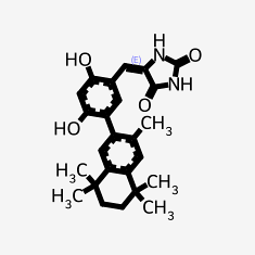 Cc1cc2c(cc1-c1cc(/C=C3/NC(=O)NC3=O)c(O)cc1O)C(C)(C)CCC2(C)C